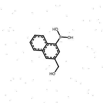 OCc1cc(B(O)O)c2ccccc2c1